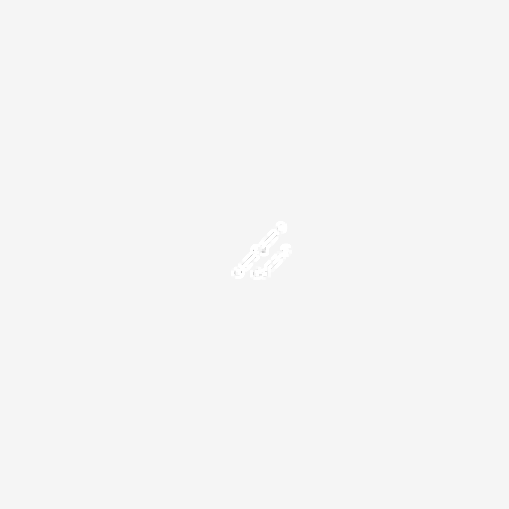 [O]=[Ce]=[O].[O]=[Gd]